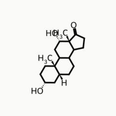 C[C@]12CC[C@@H](O)C[C@H]1CCC1C2C[C@H](O)[C@]2(C)C(=O)CCC12